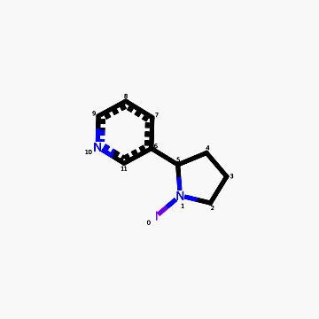 IN1CCCC1c1cccnc1